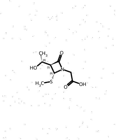 CS[C@@H]1[C@@H]([C@@H](C)O)C(=O)N1CC(=O)O